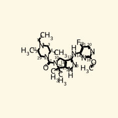 CCN1C[C@H](C)N(C(=O)N2Cc3c(Nc4nc(OC)ncc4F)n[nH]c3C2(C)C)C[C@@H]1C